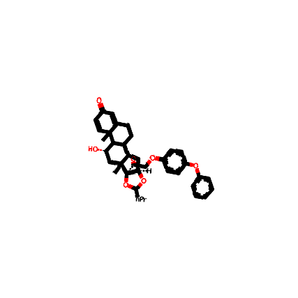 CCCC1O[C@@H]2CC3C4CCC5=CC(=O)C=CC5(C)C4[C@@H](O)CC3(C)[C@]2(C(=O)COc2ccc(Oc3ccccc3)cc2)O1